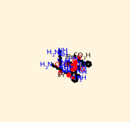 CC(C)C(NC(=O)C(Cc1c[nH]c2ccccc12)NC(=O)C(NC(=O)C(Cc1c[nH]c2ccccc12)NC(=O)C(NC(=O)C(CC(N)=O)NC(=O)C(CC(N)=O)NC(=O)C(NC(=O)C(CCCCN)NC(=O)C(N)CCCNC(=N)N)C(C)C)C(C)C)C(C)C)C(=O)O